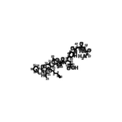 C#CCCCON(C(=O)[C@@H](NC(=O)[C@H]1CCCCN1C)[C@@H](C)CC)[C@H](C[C@@H](OC(C)=O)c1nc(C(=O)N[C@@H](Cc2ccc(NC(=O)[C@H](C)NC(=O)[C@H](C)NC(=O)[C@H](C)N)cc2)CC(C)(C)C(=O)O)cs1)C(C)C